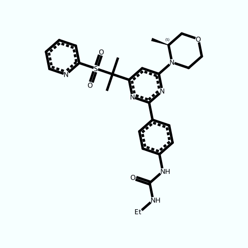 CCNC(=O)Nc1ccc(-c2nc(N3CCOC[C@@H]3C)cc(C(C)(C)S(=O)(=O)c3ccccn3)n2)cc1